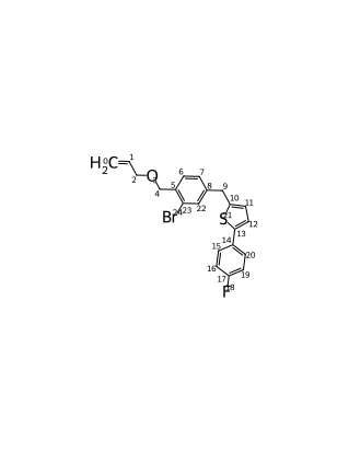 C=CCOCc1ccc(Cc2ccc(-c3ccc(F)cc3)s2)cc1Br